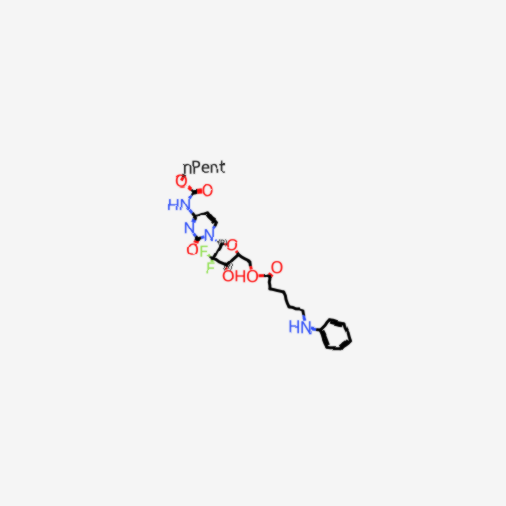 CCCCCOC(=O)Nc1ccn([C@@H]2OC(COC(=O)CCCCNc3ccccc3)[C@@H](O)C2(F)F)c(=O)n1